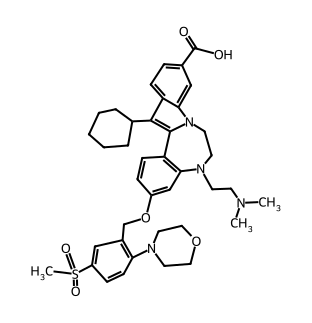 CN(C)CCN1CCn2c(c(C3CCCCC3)c3ccc(C(=O)O)cc32)-c2ccc(OCc3cc(S(C)(=O)=O)ccc3N3CCOCC3)cc21